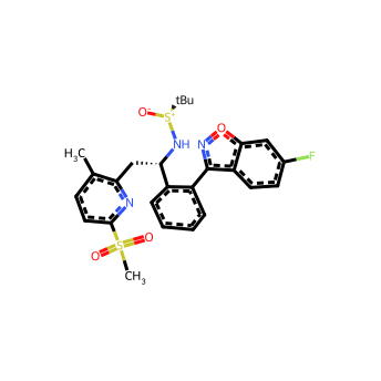 Cc1ccc(S(C)(=O)=O)nc1C[C@H](N[S@@+]([O-])C(C)(C)C)c1ccccc1-c1noc2cc(F)ccc12